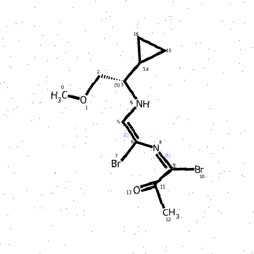 COC[C@@H](N/C=C(Br)\N=C(\Br)C(C)=O)C1CC1